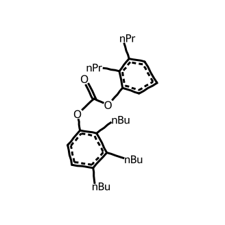 CCCCc1ccc(OC(=O)Oc2cccc(CCC)c2CCC)c(CCCC)c1CCCC